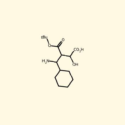 CC(C)(C)OC(=O)C(C(O)C(=O)O)C(N)C1CCCCC1